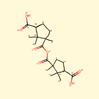 CC1(C(=O)OC(=O)C2(C)CCC(C(=O)O)C2(C)C)CCC(C(=O)O)C1(C)C